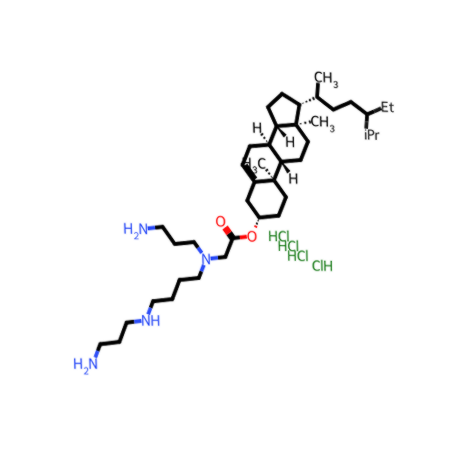 CCC(CCC(C)[C@H]1CC[C@H]2[C@@H]3CC=C4C[C@@H](OC(=O)CN(CCCN)CCCCNCCCN)CC[C@]4(C)[C@H]3CC[C@]12C)C(C)C.Cl.Cl.Cl.Cl